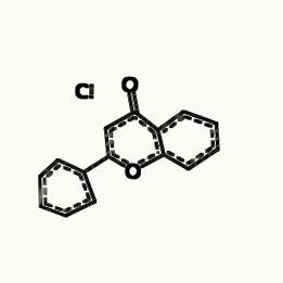 O=c1cc(-c2ccccc2)oc2ccccc12.[C]